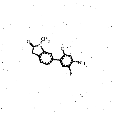 CN1C(=O)Cc2ccc(-c3cc(F)c(N)cc3Cl)cc21